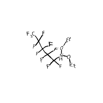 CCO[SiH](OCC)C(F)(F)C(F)(F)C(F)(F)C(F)(F)C(F)(F)F